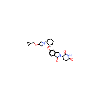 O=C1CCC(N2Cc3cc(O[C@@H]4CCCC[C@H]4N4CC(OCC5CC5)C4)ccc3C2=O)C(=O)N1